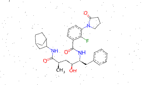 C[C@H](C[C@H](O)[C@H](Cc1ccccc1)NC(=O)c1cccc(N2CCCC2=O)c1F)C(=O)NC1CC2CCC1C2